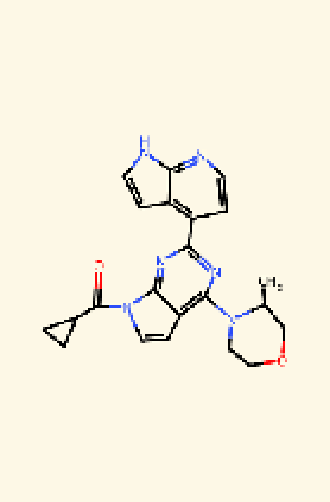 CC1COCCN1c1nc(-c2ccnc3[nH]ccc23)nc2c1ccn2C(=O)C1CC1